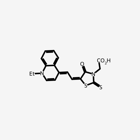 CCN1C=C/C(=C\C=C2\SC(=S)N(CC(=O)O)C2=O)c2ccccc21